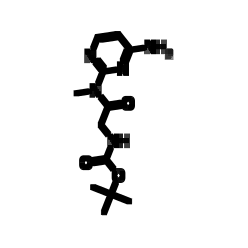 CN(C(=O)CNC(=O)OC(C)(C)C)c1nccc(N)n1